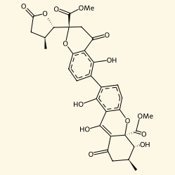 COC(=O)[C@@]12Oc3ccc(-c4ccc5c(c4O)C(=O)C[C@@](C(=O)OC)([C@H]4OC(=O)C[C@@H]4C)O5)c(O)c3C(O)=C1C(=O)C[C@H](C)[C@H]2O